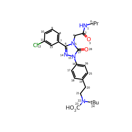 CC(C)NC(=O)Cn1c(-c2cccc(Cl)c2)nn(-c2ccc(CCN(C(=O)O)C(C)(C)C)cc2)c1=O